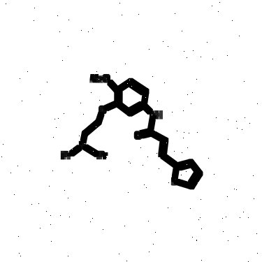 COc1ccc(NC(=O)C=Cc2cccs2)cc1OCCN(C(C)C)C(C)C